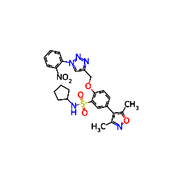 Cc1noc(C)c1-c1ccc(OCc2cn(-c3ccccc3[N+](=O)[O-])nn2)c(S(=O)(=O)NC2CCCC2)c1